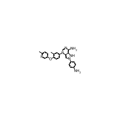 Cc1ccc(Oc2ccc(N3C=NC(N)=C4NN(c5ccc(N)cc5)C=C43)cc2C)cn1